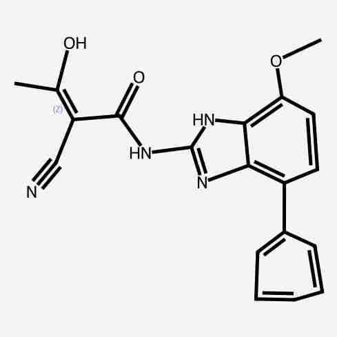 COc1ccc(-c2ccccc2)c2nc(NC(=O)/C(C#N)=C(/C)O)[nH]c12